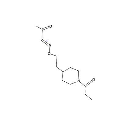 CCC(=O)N1CCC(CCO/N=C/C(C)=O)CC1